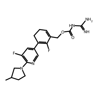 CC1CCN(c2ncc(C3=C(F)C(COC(=O)NC(=N)N)=CCC3)cc2F)C1